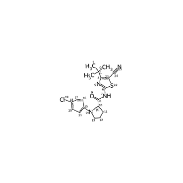 CC(C)(C)c1nc(NC(=O)[C@@H]2CCCN2c2ccc(Cl)cc2)sc1C#N